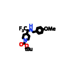 COc1ccc(CNC(C2CCN(C(=O)OC(C)(C)C)CC2)C(F)(F)F)cc1